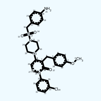 COc1ccc(Cc2c(N3CCN(S(=O)(=O)Cc4ccc(N)cc4)CC3)cnn(-c3cccc(Cl)c3)c2=O)cc1